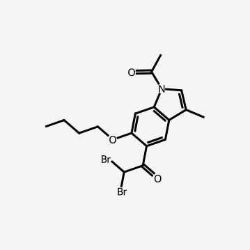 CCCCOc1cc2c(cc1C(=O)C(Br)Br)c(C)cn2C(C)=O